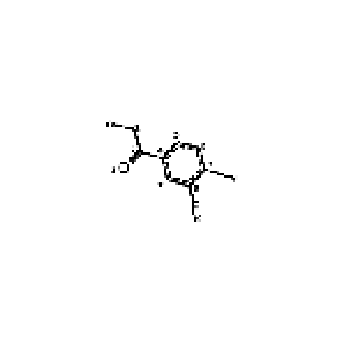 CCC(=O)c1ccc(F)c(F)c1